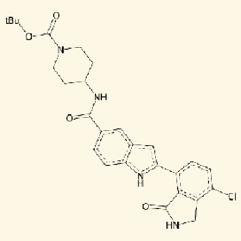 CC(C)(C)OC(=O)N1CCC(NC(=O)c2ccc3[nH]c(-c4ccc(Cl)c5c4C(=O)NC5)cc3c2)CC1